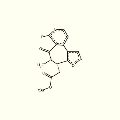 CN1C(=O)c2c(ccnc2F)-c2cnoc2[C@@H]1CC(=O)OC(C)(C)C